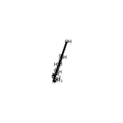 NC(=O)[C@H](COCCNC(=O)COCCOCCNC(=O)COCCOCCNC(=O)CCCCCCCCCCCCCCCCCO)CC(=O)[C@@H](N)Cc1cnc[nH]1